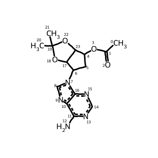 CC(=O)OC1CC(n2cnc3c(N)ncnc32)C2OC(C)(C)OC12